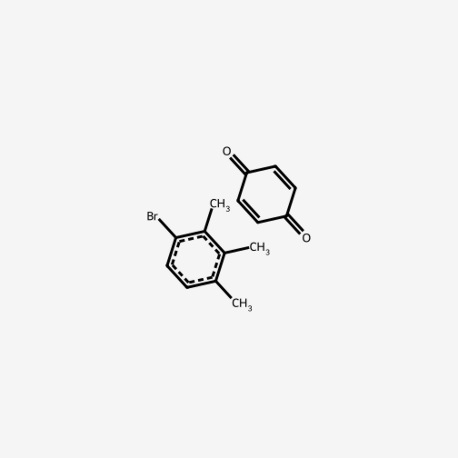 Cc1ccc(Br)c(C)c1C.O=C1C=CC(=O)C=C1